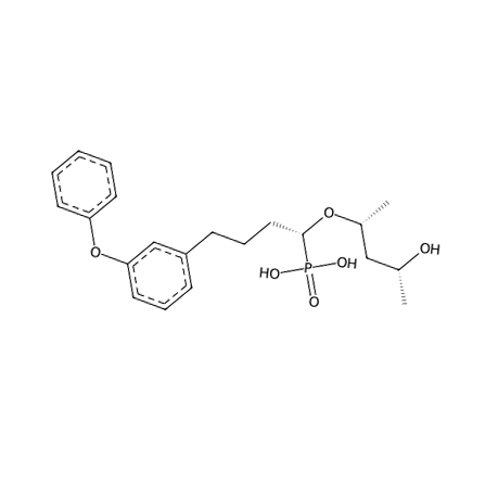 C[C@H](C[C@@H](C)O)O[C@@H](CCCc1cccc(Oc2ccccc2)c1)P(=O)(O)O